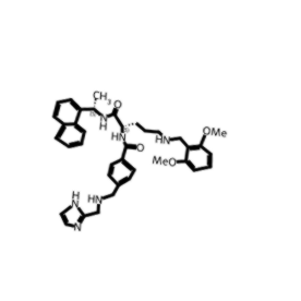 COc1cccc(OC)c1CNCCC[C@H](NC(=O)c1ccc(CNCc2ncc[nH]2)cc1)C(=O)N[C@@H](C)c1cccc2ccccc12